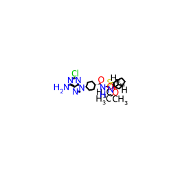 CC(C)(C)OC(=O)C1[C@H]2CC[C@H]1c1sc(NC(=O)[C@H]3CC[C@@H](n4cnc5c(N)nc(Cl)nc54)CC3)nc1C2